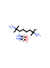 CC(C)(N)CCCCC(C)(C)N.N=C=O.N=C=O